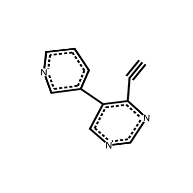 C#Cc1ncncc1-c1cccnc1